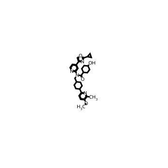 COc1ccc(C2CCC(CN(C(=O)C3CCC(O)CC3)c3cc(-c4coc(C5CC5)n4)ccn3)CC2)nc1C